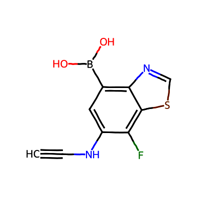 C#CNc1cc(B(O)O)c2ncsc2c1F